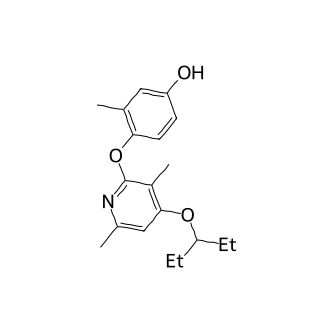 CCC(CC)Oc1cc(C)nc(Oc2ccc(O)cc2C)c1C